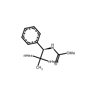 CCCCCCCC(C)(CCCCCC)[C@H](NC(=O)OC)c1ccccc1